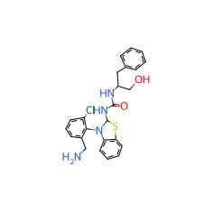 NCc1cccc(Cl)c1N1c2ccccc2SC1NC(=O)NC(CO)Cc1ccccc1